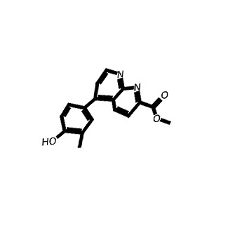 COC(=O)c1ccc2c(-c3ccc(O)c(C)c3)ccnc2n1